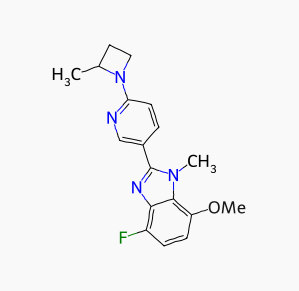 COc1ccc(F)c2nc(-c3ccc(N4CCC4C)nc3)n(C)c12